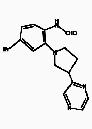 CC(C)c1ccc(NC=O)c(N2CCC(c3cnccn3)C2)c1